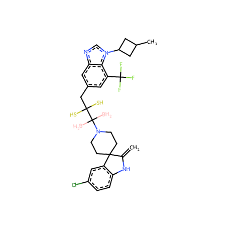 BC(B)(N1CCC2(CC1)C(=C)Nc1ccc(Cl)cc12)C(S)(S)Cc1cc(C(F)(F)F)c2c(c1)ncn2C1CC(C)C1